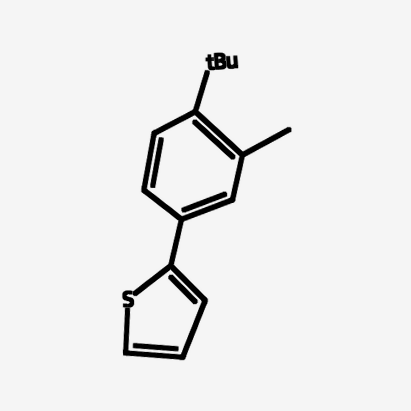 Cc1cc(-c2cccs2)ccc1C(C)(C)C